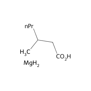 CCCC(C)CC(=O)O.[MgH2]